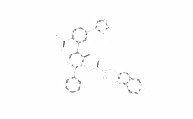 NC(=O)c1ccc(-c2cnc[nH]2)cc1-c1cnc(-c2ccccc2)n(CC(=O)NCc2cc3cnccc3[nH]2)c1=O